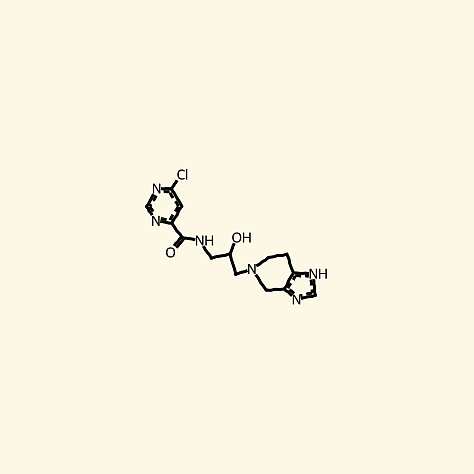 O=C(NCC(O)CN1CCc2[nH]cnc2C1)c1cc(Cl)ncn1